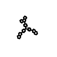 c1ccc2cc(-c3ccc(N(c4ccc(-c5ccc6ccccc6c5)cc4)c4ccc(-c5cc6ccccc6c6ccccc56)cc4)cc3)ccc2c1